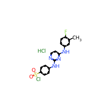 Cc1cc(Nc2ccnc(Nc3ccc(S(=O)(=O)Cl)cc3)n2)ccc1F.Cl